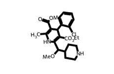 CCOC(=O)C1=C(C(OC)C2CCNCC2)NC(C)=C(C(=O)OC)C1c1ccccc1Cl